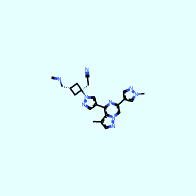 C=NC[C@H]1C[C@](CC#N)(n2cc(-c3nc(-c4cnn(C)c4)cn4ncc(C)c34)cn2)C1